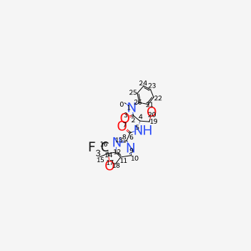 CN1C(=O)[C@@H](NC(=O)c2ncc3c(n2)[C@](C)(C(F)(F)F)OC3)COc2ccccc21